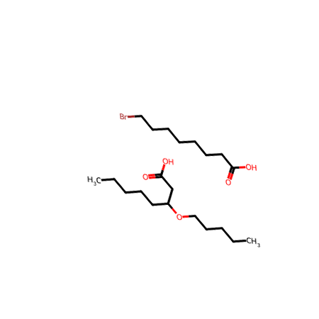 CCCCCOC(CCCCC)CC(=O)O.O=C(O)CCCCCCCBr